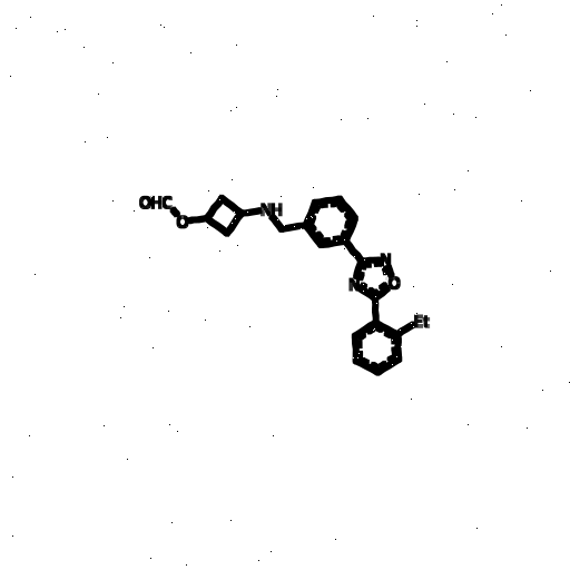 CCc1ccccc1-c1nc(-c2cccc(CNC3CC(OC=O)C3)c2)no1